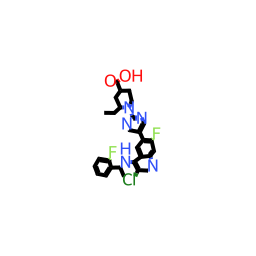 CCC1CC(C(=O)O)CCN1c1ncc(-c2cc3c(NC(C)c4ccccc4F)c(Cl)cnc3cc2F)cn1